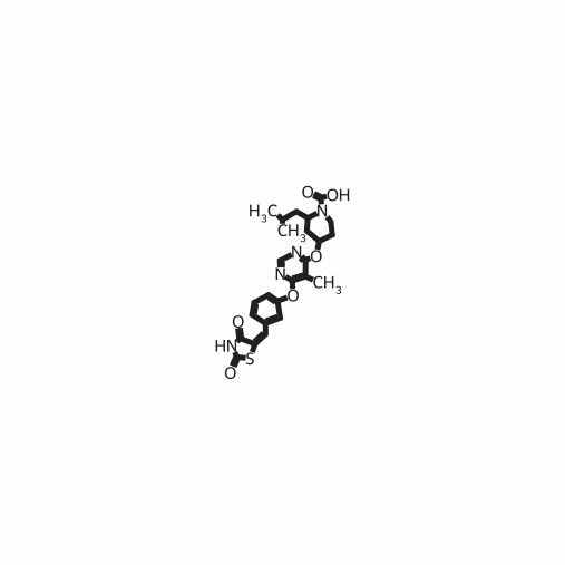 Cc1c(Oc2cccc(C=C3SC(=O)NC3=O)c2)ncnc1OC1CCN(C(=O)O)C(CC(C)C)C1